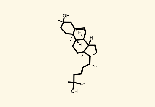 CCC(C)(O)CCC[C@@H](C)[C@H]1CC[C@H]2[C@@H]3CC=C4C[C@@](C)(O)CC[C@]4(C)[C@H]3CC[C@]12C